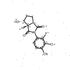 N#Cc1ccc(N2C(=O)[C@@H]3[C@H](O)CCN3C2=O)c(F)c1Cl